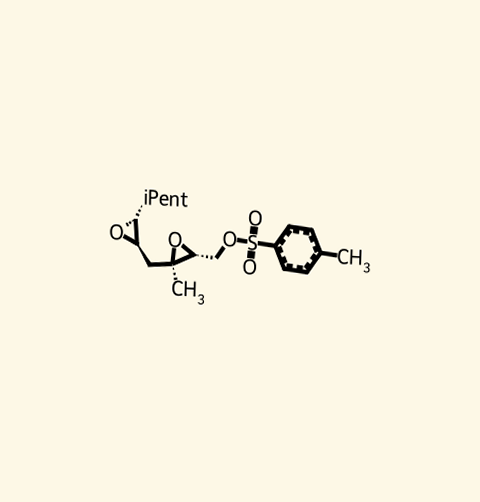 CCC[C@@H](C)[C@H]1O[C@@H]1C[C@@]1(C)O[C@@H]1COS(=O)(=O)c1ccc(C)cc1